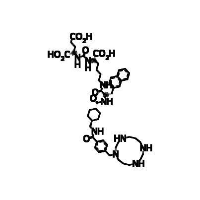 O=C(O)CC[C@H](NC(=O)N[C@@H](CCCCNC(=O)[C@H](Cc1ccc2ccccc2c1)NC(=O)[C@H]1CC[C@H](CNC(=O)c2ccc(CN3CCCNCCNCCCNCC3)cc2)CC1)C(=O)O)C(=O)O